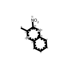 Cc1nc2ccccc2nc1[N+](=O)[O-]